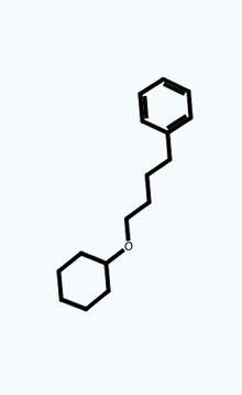 c1ccc(CCCCOC2CCCCC2)cc1